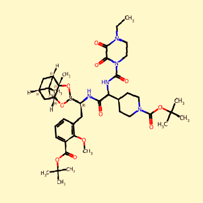 CCN1CCN(C(=O)NC(C(=O)N[C@@H](Cc2cccc(C(=O)OC(C)(C)C)c2OC)B2O[C@@H]3C[C@@H]4C[C@@H](C4(C)C)[C@]3(C)O2)C2CCN(C(=O)OC(C)(C)C)CC2)C(=O)C1=O